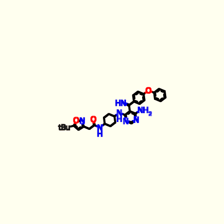 CC(C)(C)c1cc(CC(=O)NC2CCC(Nc3ncnc(N)c3C(=N)c3ccc(Oc4ccccc4)cc3)CC2)no1